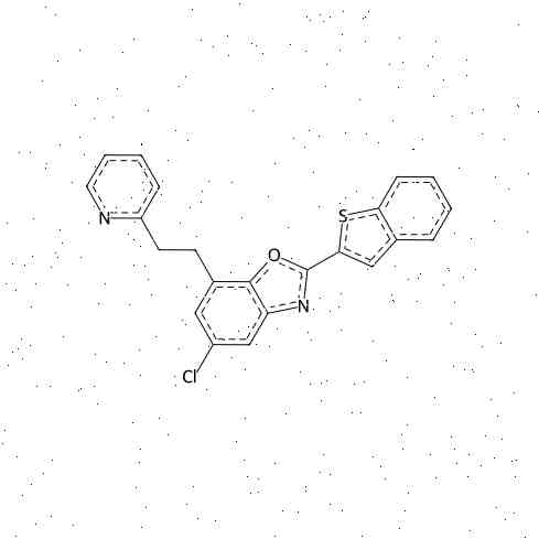 Clc1cc(CCc2ccccn2)c2oc(-c3cc4ccccc4s3)nc2c1